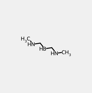 CNCBCNC